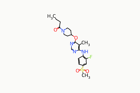 CCCC(=O)N1CCC(Oc2ncnc(Nc3ccc(S(C)(=O)=O)cc3F)c2C)CC1